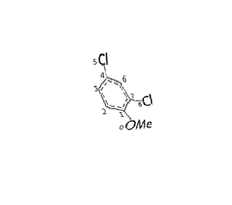 [CH2]Oc1ccc(Cl)cc1Cl